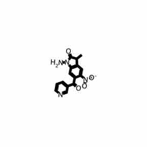 CC1C(=O)N(N)c2cc(C(=O)c3cccnc3)c([N+](=O)[O-])cc21